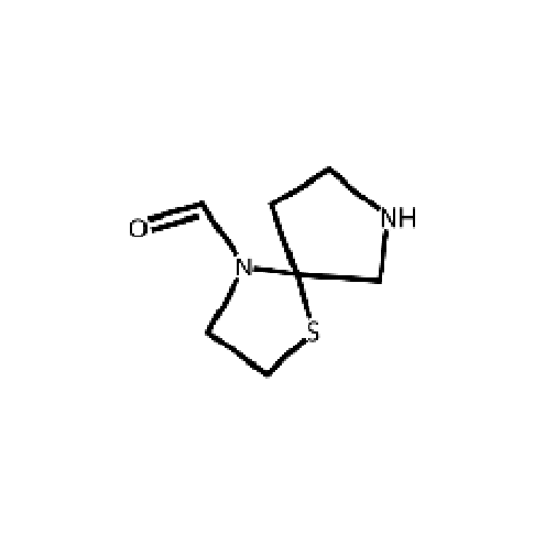 O=CN1CCSC12CCNC2